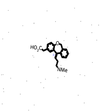 CNCC/C=C1\c2ccccc2COc2ccc(CC(=O)O)cc21